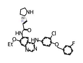 CCOc1cc2ncnc(Nc3ccc(OCc4cccc(F)c4)c(Cl)c3)c2cc1NC(=O)/C=C/[C@@H]1CCCN1